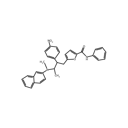 CC(C(Cc1ccc(C(=O)Nc2ccccc2)o1)c1ccc([N+](=O)[O-])cc1)N(C)c1ccc2ccccc2c1